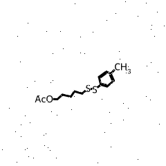 CC(=O)OCCCCCSSc1ccc(C)cc1